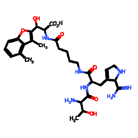 Cc1cccc2oc(C(O)C(NC(=O)CCCCNC(=O)C(CC3=CCNC3C(=N)N)NC(=O)C(N)C(C)O)C(=O)O)c(C)c12